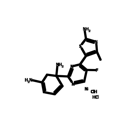 Cc1nc(N)sc1-c1nc(C2(N)C=CC=C(N)C2)ncc1F.Cl.Cl.[N]